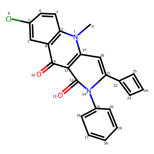 Cn1c2ccc(Cl)cc2c(=O)c2c(=O)n(-c3ccccc3)c(C3=CC=C3)cc21